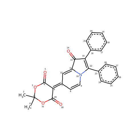 CC1(C)OC(=O)C(=C2C=CN3C(=C2)C(=O)C(c2ccccc2)=C3c2ccccc2)C(=O)O1